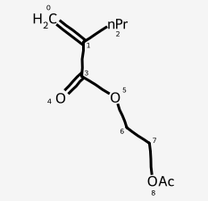 C=C(CCC)C(=O)OCCOC(C)=O